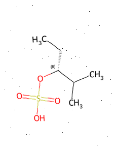 CC[C@@H](OS(=O)(=O)O)C(C)C